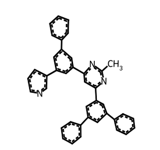 Cc1nc(-c2cc(-c3ccccc3)cc(-c3ccccc3)c2)cc(-c2cc(-c3ccccc3)cc(-c3cccnc3)c2)n1